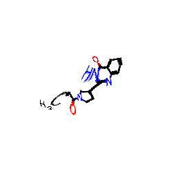 C=CC(=O)N1CCC(c2nc3ccccc3c(=O)[nH]2)C1